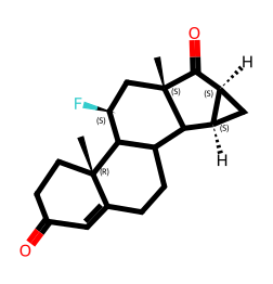 C[C@]12CCC(=O)C=C1CCC1C2[C@@H](F)C[C@]2(C)C(=O)[C@H]3C[C@H]3C12